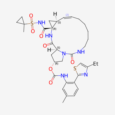 CCc1csc(-c2ccc(C)cc2NC(=O)O[C@@H]2C[C@H]3C(=O)N[C@]4(C(=O)NS(=O)(=O)C5(C)CC5)C[C@H]4/C=C\CCCCCNC(=O)N3C2)n1